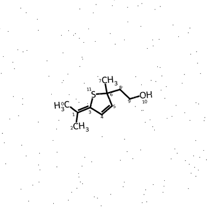 CC(C)=C1C=CC(C)(CCO)S1